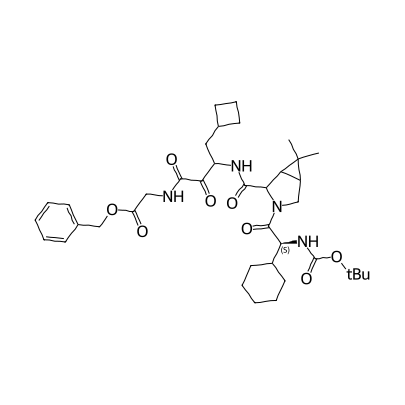 CC(C)(C)OC(=O)N[C@H](C(=O)N1CC2C(C1C(=O)NC(CC1CCC1)C(=O)C(=O)NCC(=O)OCc1ccccc1)C2(C)C)C1CCCCC1